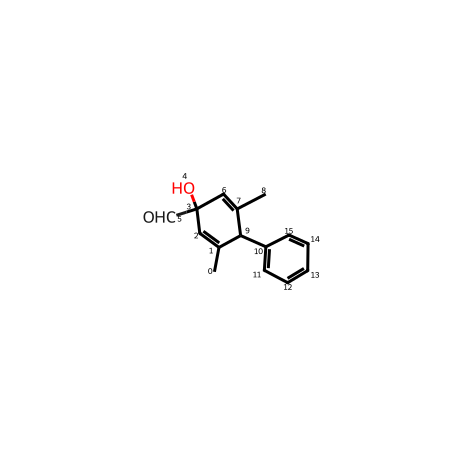 CC1=CC(O)(C=O)C=C(C)C1c1ccccc1